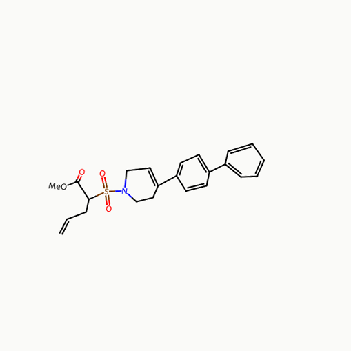 C=CCC(C(=O)OC)S(=O)(=O)N1CC=C(c2ccc(-c3ccccc3)cc2)CC1